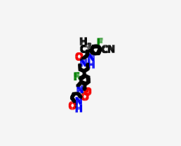 Cc1c(C(=O)N2CCC(c3ccc4c(c3F)CN(C3CCC(=O)NC3=O)C4=O)CC2)[nH]c2cc(C#N)c(F)cc12